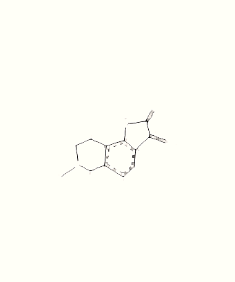 CN1CCc2c(ccc3c2NC(=O)C3=O)C1